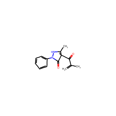 C=C(C)C(=O)c1c(C)[nH]n(-c2ccccc2)c1=O